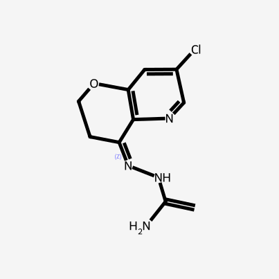 C=C(N)N/N=C1/CCOc2cc(Cl)cnc21